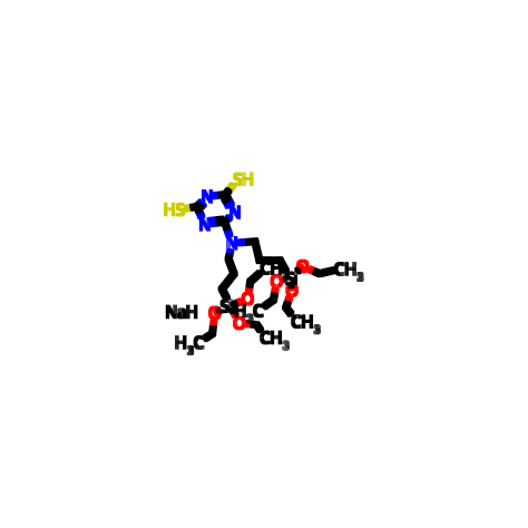 CCO[Si](CCCN(CCC[Si](OCC)(OCC)OCC)c1nc(S)nc(S)n1)(OCC)OCC.[NaH]